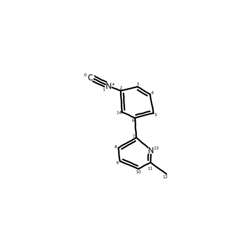 [C-]#[N+]c1cccc(-c2cccc(C)n2)c1